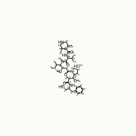 CCC(C)C(C(CC(=O)N1CCC[C@H]1C(OC)C(C)C(=O)NC(CO)Cc1ccccc1)OC)N(C)C(=O)C(NC(=O)N1[C@H](C)CNC[C@@H]1C)C(C)C.Cl